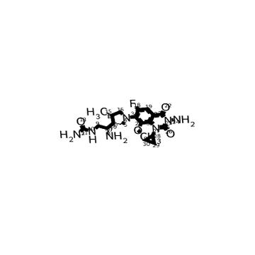 COc1c(N2C[C@H]([C@H](N)CNC(N)=O)[C@H](C)C2)c(F)cc2c(=O)n(N)c(=O)n(C3CC3)c12